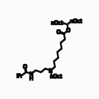 CCCCCCCCC(CCCCCCCC)OC(=O)CCCCCCCN(CCCCCCCC)CCCNC(=O)C(C)C